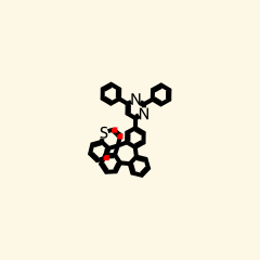 c1ccc(-c2cc(-c3ccc4c(c3)C3(c5ccccc5Sc5ccccc53)c3ccccc3-c3ccccc3-4)nc(-c3ccccc3)n2)cc1